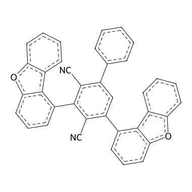 N#Cc1c(-c2ccccc2)cc(-c2cccc3oc4ccccc4c23)c(C#N)c1-c1cccc2oc3ccccc3c12